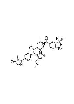 CC(C)Cc1cnn2c3c(c(=O)n(-c4ccc(C5=NCC(=O)N5C)cc4)c12)CC(C)N(C(=O)c1ccc(Br)c(C(F)(F)F)c1)C3